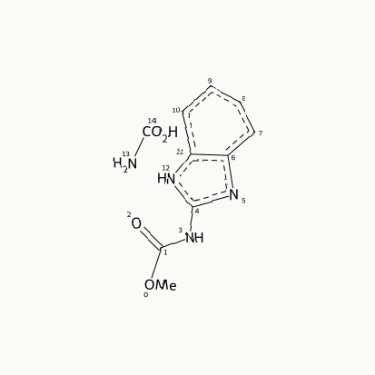 COC(=O)Nc1nc2ccccc2[nH]1.NC(=O)O